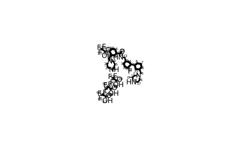 C[C@H]1CN(Cc2cccc(-c3cc(CNC(=O)c4cccc(CN5CCCNCC5)c4)ccc3F)c2)CCN1.O=C(O)C(F)(F)F.O=C(O)C(F)(F)F.O=C(O)C(F)(F)F.O=C(O)C(F)(F)F